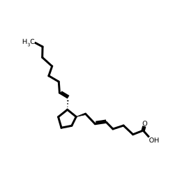 CCCCCC/C=C/[C@H]1CCC[C@@H]1C/C=C/CCCC(=O)O